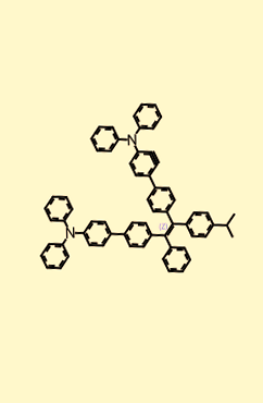 CC(C)c1ccc(/C(=C(\c2ccccc2)c2ccc(-c3ccc(N(c4ccccc4)c4ccccc4)cc3)cc2)c2ccc(-c3c#cc(N(c4ccccc4)c4ccccc4)cc3)cc2)cc1